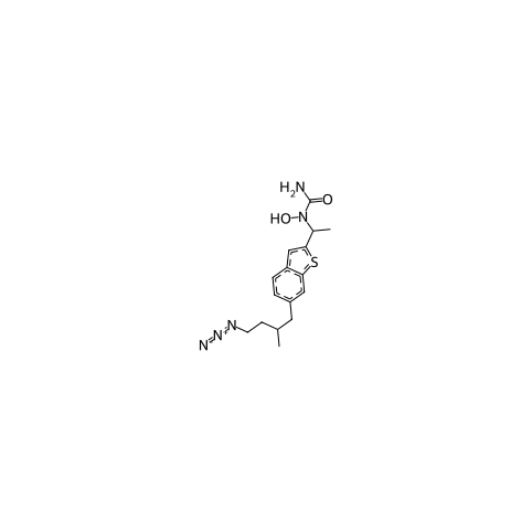 CC(CCN=[N+]=[N-])Cc1ccc2cc(C(C)N(O)C(N)=O)sc2c1